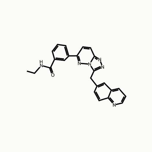 CCNC(=O)c1cccc(-c2ccc3nnc(Cc4ccc5ncccc5c4)n3n2)c1